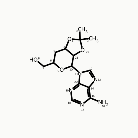 CC1(C)OC2CC(CO)OC(n3cnc4c(N)ncnc43)C2O1